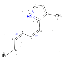 Cc1cc[nH]c1/C=C\C=C/CC(C)C